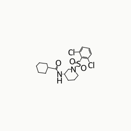 O=C(N[C@H]1CCCN(S(=O)(=O)c2c(Cl)cccc2Cl)C1)C1CCCCC1